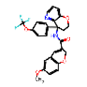 COc1ccc2c(c1)C=C(C(=O)NC1(c3ccc(OC(F)(F)F)cc3)CCOc3cccnc31)CO2